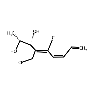 C=C/C=C\C(Cl)=C(/CCl)[C@@H](O)[C@@H](C)O